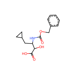 O=C(NC(CC1CC1)C(O)C(=O)O)OCc1ccccc1